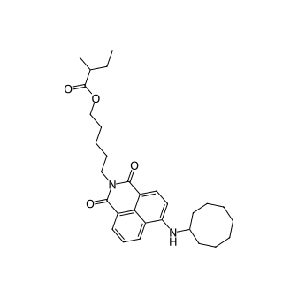 CCC(C)C(=O)OCCCCCN1C(=O)c2cccc3c(NC4CCCCCCC4)ccc(c23)C1=O